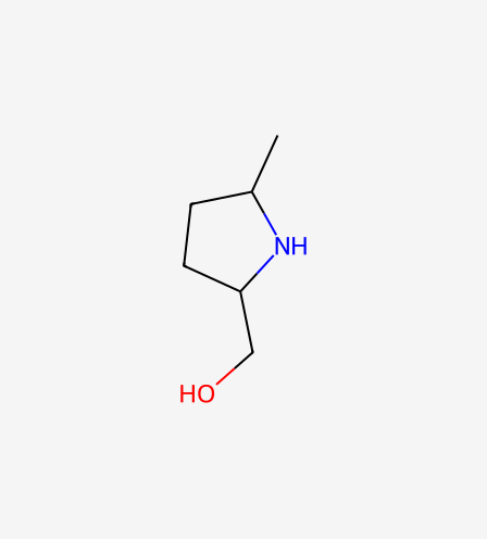 CC1CCC(CO)N1